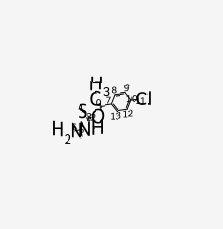 CC(OC(=S)NN)c1ccc(Cl)cc1